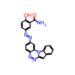 NC(=O)c1cc(/N=N/c2ccc3nnc4cc5ccccc5n4c3c2)ccc1O